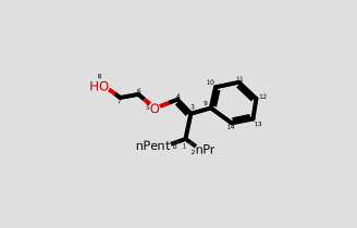 CCCCCC(CCC)C(=COCCO)c1ccccc1